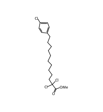 COC(=O)C(Cl)(Cl)CCCCCCCCCCc1ccc(Cl)cc1